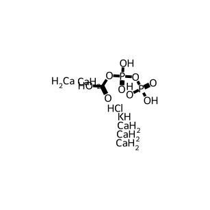 Cl.O=C(O)OP(=O)(O)OP(=O)(O)O.[CaH2].[CaH2].[CaH2].[CaH2].[CaH2].[KH]